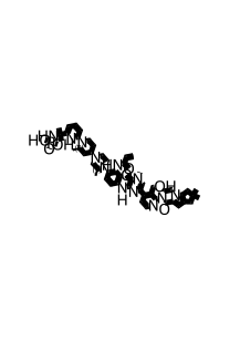 C=CC(=O)Nc1cc(Nc2nc(-c3ccnc(N4CCn5c(cc6c5CC(C)(C)C6)C4=O)c3CO)cn(C)c2=O)ccc1N1CCN(C2CCN(c3cccc(C(C)(C)NP(=O)(O)O)n3)[C@H](C)C2)C[C@@H]1C